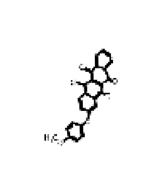 COc1ccc(Sc2ccc3c(Cl)c4c(c(Cl)c3c2)C(=O)c2ccccc2C4=O)cc1